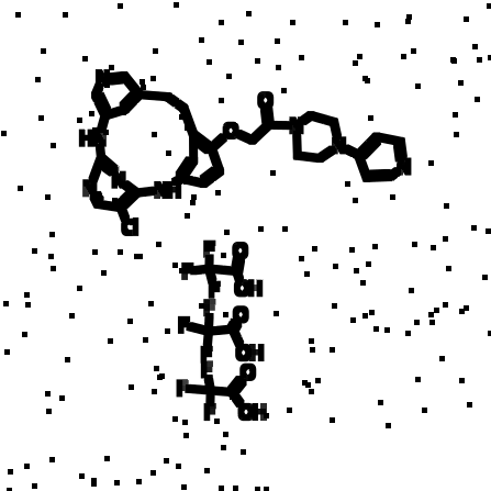 O=C(COc1ccc2cc1CCc1cncc(c1)Nc1ncc(Cl)c(n1)N2)N1CCN(c2ccncc2)CC1.O=C(O)C(F)(F)F.O=C(O)C(F)(F)F.O=C(O)C(F)(F)F